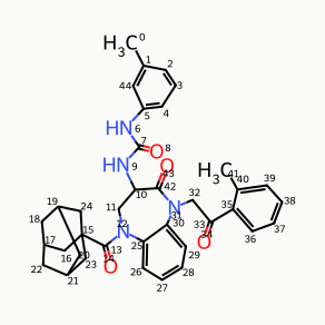 Cc1cccc(NC(=O)NC2CN(C(=O)C34CC5CC(CC(C5)C3)C4)c3ccccc3N(CC(=O)c3ccccc3C)C2=O)c1